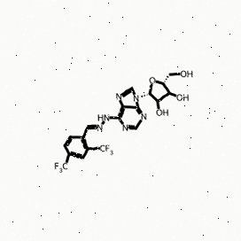 OC[C@H]1O[C@@H](n2cnc3c(N/N=C/c4ccc(C(F)(F)F)cc4C(F)(F)F)ncnc32)C(O)C1O